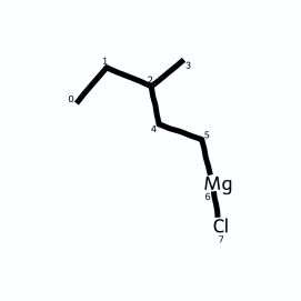 CCC(C)C[CH2][Mg][Cl]